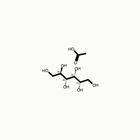 CC(=O)O.OC[C@@H](O)[C@@H](O)[C@H](O)[C@@H](O)CO